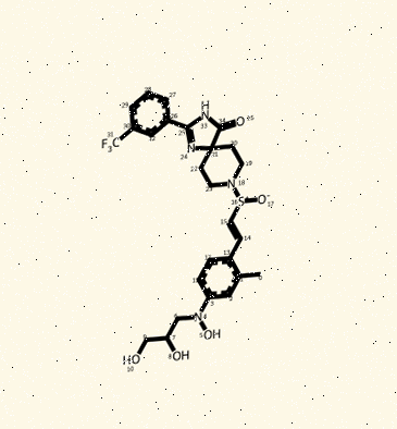 Cc1cc(N(O)CC(O)CO)ccc1/C=C/[S+]([O-])N1CCC2(CC1)N=C(c1cccc(C(F)(F)F)c1)NC2=O